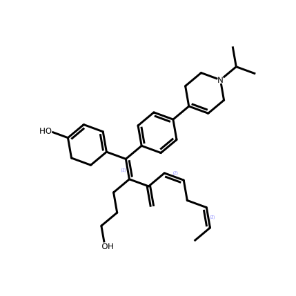 C=C(/C=C\C/C=C\C)/C(CCCO)=C(/C1=CC=C(O)CC1)c1ccc(C2=CCN(C(C)C)CC2)cc1